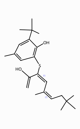 C=C(O)/C(=C\C(C)=C/CC(C)(C)C)Sc1cc(C)cc(C(C)(C)C)c1O